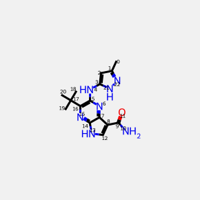 Cc1cc(Nc2nc3c(C(N)=O)c[nH]c3nc2C(C)(C)C)[nH]n1